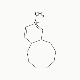 C[N+]1=CC2CCCCCCCC2C=C1